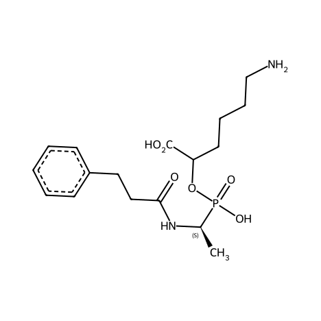 C[C@@H](NC(=O)CCc1ccccc1)P(=O)(O)OC(CCCCN)C(=O)O